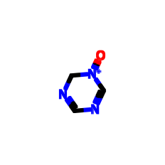 O=[N+]1C=NC=NC1